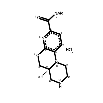 CNC(=O)c1ccc2c(n1)OC[C@@H]1CNCCN21.Cl